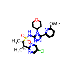 COc1cccc(-c2nnc(NS(=O)(=O)[C@@H](C)[C@H](C)c3ncc(Cl)cn3)n2C2CCOCC2)n1